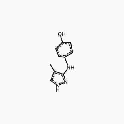 Cc1c[nH]nc1Nc1ccc(O)cc1